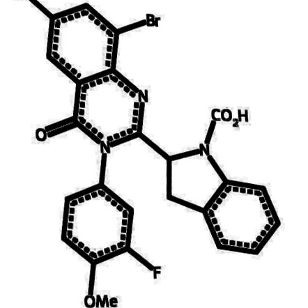 COc1ccc(-n2c(C3Cc4ccccc4N3C(=O)O)nc3c(Br)cc(C#N)cc3c2=O)cc1F